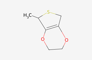 CC1SCC2=C1OCCO2